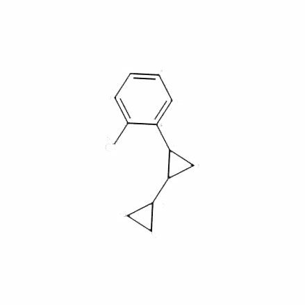 Clc1ccccc1C1CC1C1CC1